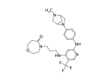 CN1CC2CC1CN2c1ccc(Nc2cc(NCCCN3CCOCCC3=O)c(C(F)(F)F)cn2)cc1